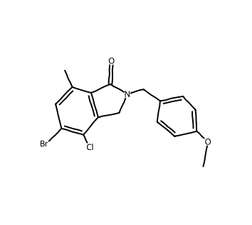 COc1ccc(CN2Cc3c(Cl)c(Br)cc(C)c3C2=O)cc1